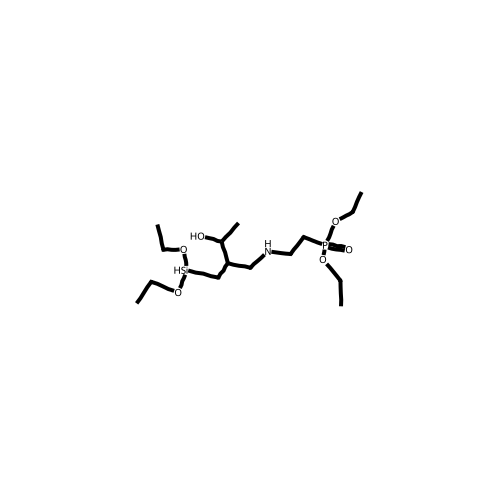 CCO[SiH](CC(CNCCP(=O)(OCC)OCC)C(C)O)OCC